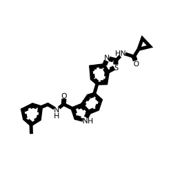 Cc1cccc(CNC(=O)c2c[nH]c3ccc(-c4ccc5nc(NC(=O)C6CC6)sc5c4)cc23)c1